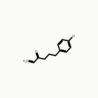 C=CC(=O)CCCc1ccc(Cl)cc1